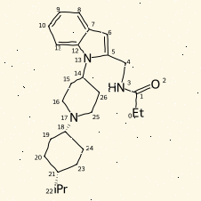 CCC(=O)NCc1cc2ccccc2n1C1CCN([C@H]2CC[C@@H](C(C)C)CC2)CC1